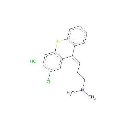 CN(C)CCC=C1c2ccccc2Sc2ccc(Cl)cc21.Cl